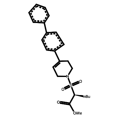 CCCC[C@@H](C(=O)OC)S(=O)(=O)N1CC=C(c2ccc(-c3ccccc3)cc2)CC1